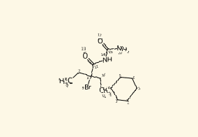 C1CCCCC1.CCC(Br)(CC)C(=O)NC(N)=O